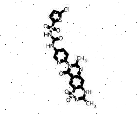 CC1=NS(=O)(=O)c2cc3c(=O)n(-c4ccc(NC(=O)NS(=O)(=O)c5ccc(Cl)s5)cn4)c(C)nc3cc2N1